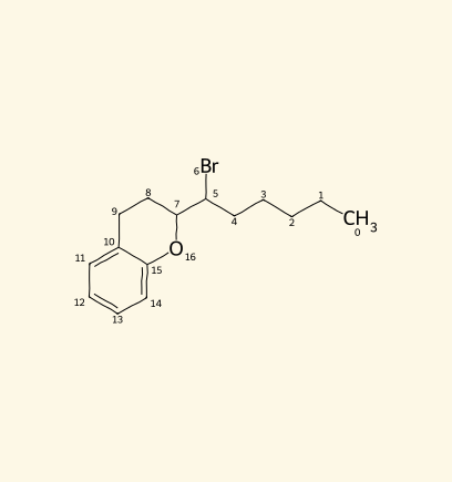 CCCCCC(Br)C1CCc2ccccc2O1